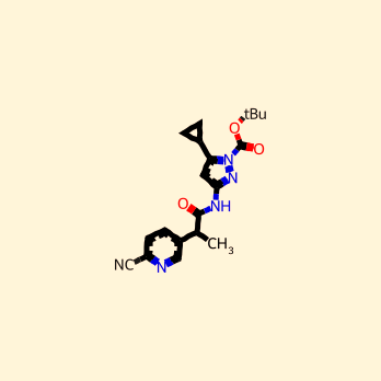 CC(C(=O)Nc1cc(C2CC2)n(C(=O)OC(C)(C)C)n1)c1ccc(C#N)nc1